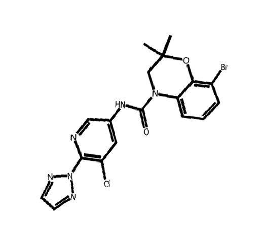 CC1(C)CN(C(=O)Nc2cnc(-n3nccn3)c(Cl)c2)c2cccc(Br)c2O1